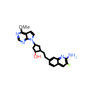 COc1ncnc2c1ccn2C1CC(CCc2ccc3cc(F)c(N)nc3c2)[C@@H](O)C1